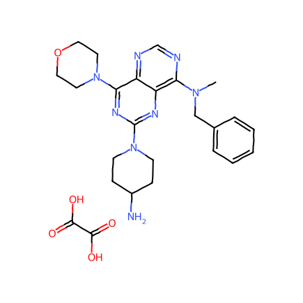 CN(Cc1ccccc1)c1ncnc2c(N3CCOCC3)nc(N3CCC(N)CC3)nc12.O=C(O)C(=O)O